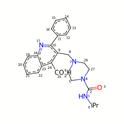 CC(C)NC(=O)N1CCN(Cc2c(-c3ccccc3)nc3ccccc3c2C(=O)O)CC1